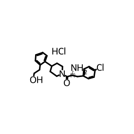 Cl.N[C@H](Cc1ccc(Cl)cc1)C(=O)N1CCC(c2ccccc2CCO)CC1